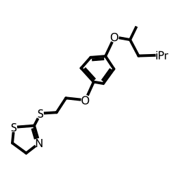 CC(C)CC(C)Oc1ccc(OCCSC2=NCCS2)cc1